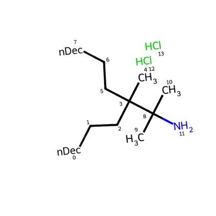 CCCCCCCCCCCCC(C)(CCCCCCCCCCCC)C(C)(C)N.Cl.Cl